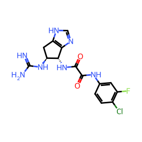 N=C(N)N[C@H]1Cc2[nH]cnc2[C@@H]1NC(=O)C(=O)Nc1ccc(Cl)c(F)c1